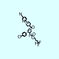 CN(C(=O)OCCCC(F)(F)F)[C@@H]1CN(C(=O)C2CCN(c3ccc(C#N)cn3)CC2)C[C@H]1c1ccc(Cl)cc1